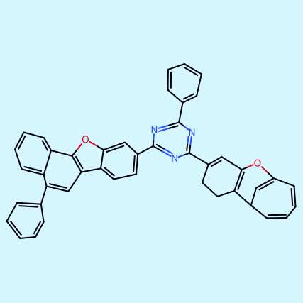 C1=CC2=CC(C=C1)C1=C(C=C(c3nc(-c4ccccc4)nc(-c4ccc5c(c4)oc4c6ccccc6c(-c6ccccc6)cc54)n3)CC1)O2